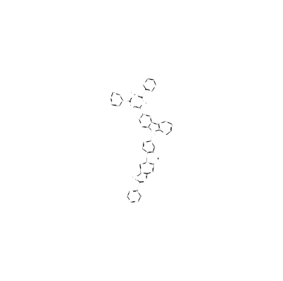 CC1(C)c2cc(-n3c4ccccc4c4cc(-c5nc(-c6ccccc6)nc(-c6ccccc6)n5)ccc43)ccc2-c2cc3nc(-c4ccccc4)sc3cc21